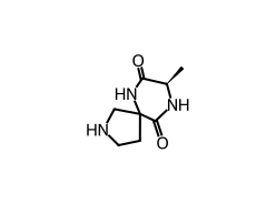 C[C@H]1NC(=O)C2(CCNC2)NC1=O